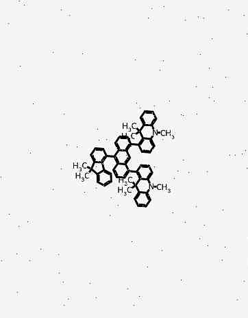 CN1c2ccccc2C(C)(C)c2c(-c3cccc4c(-c5cccc6c5-c5ccccc5C6(C)C)c5cccc(-c6cccc7c6C(C)(C)c6ccccc6N7C)c5cc34)cccc21